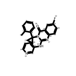 Cc1ccccc1C1(n2c(Nc3cccnc3)nc3ccc(F)cc3c2=O)CC1